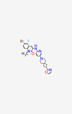 Cn1c(=O)c(Nc2ccc(N3CCC4(CC3)CC(c3ncco3)C4)cn2)cc2c(F)c(Br)ccc21